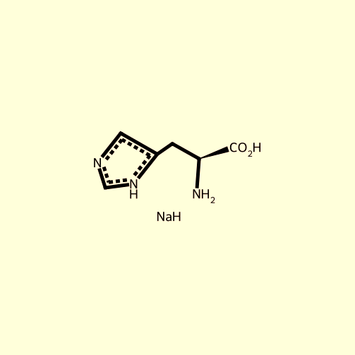 N[C@@H](Cc1cnc[nH]1)C(=O)O.[NaH]